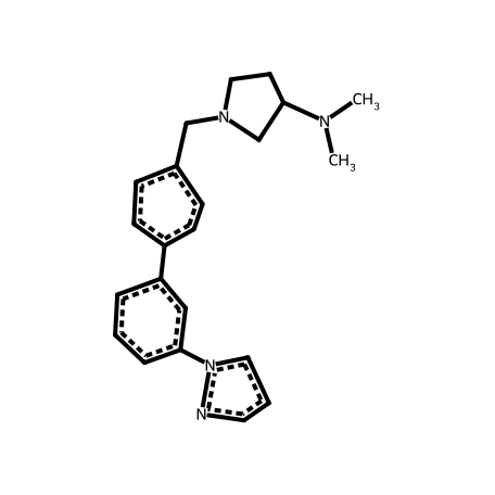 CN(C)C1CCN(Cc2ccc(-c3cccc(-n4cccn4)c3)cc2)C1